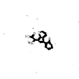 C=C(C(=O)O)c1cc(-c2ccccc2Cl)c2cccoc1-2